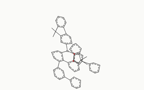 CC1(C)c2ccccc2-c2ccc(N(c3ccc(-c4ccccc4)cc3)c3cccc(-c4cccc(-c5ccccc5)c4)c3-c3cccc4c3-c3ccccc3C4(C)C)cc21